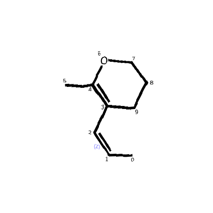 C/C=C\C1=C(C)OCCC1